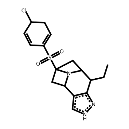 CCC1c2n[nH]cc2C2CC3(S(=O)(=O)C4=CCC(Cl)C=C4)CC1N23